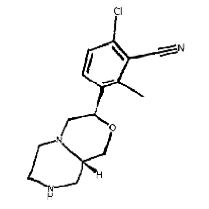 Cc1c([C@@H]2CN3CCNC[C@H]3CO2)ccc(Cl)c1C#N